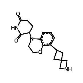 O=C1CCC(N2CCOc3c(C4CC5(CNC5)C4)cccc32)C(=O)N1